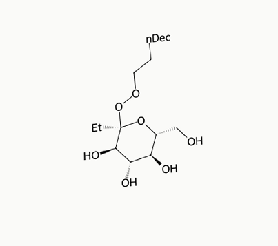 CCCCCCCCCCCCOO[C@@]1(CC)O[C@H](CO)[C@@H](O)[C@H](O)[C@H]1O